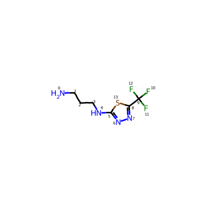 NCCCNc1nnc(C(F)(F)F)s1